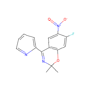 CC1(C)N=C(c2ccccn2)c2cc([N+](=O)[O-])c(F)cc2O1